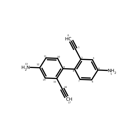 C#Cc1cc(N)ccc1-c1ccc(N)cc1C#C